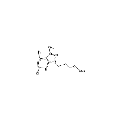 CCCCOCCCc1nn(C)c2c(C(C)C)cc(Cl)nc12